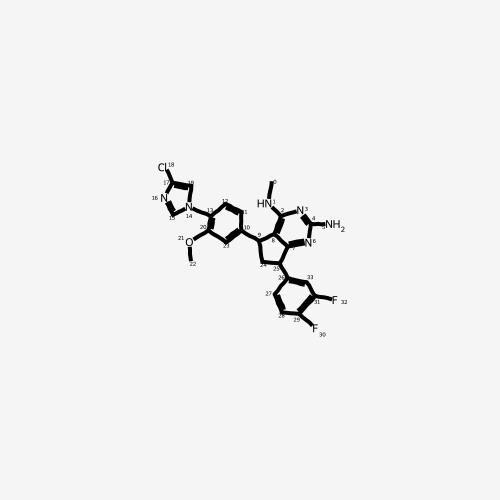 CNc1nc(N)nc2c1C(c1ccc(-n3cnc(Cl)c3)c(OC)c1)CC2c1ccc(F)c(F)c1